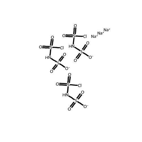 O=S(=O)([O-])NS(=O)(=O)Cl.O=S(=O)([O-])NS(=O)(=O)Cl.O=S(=O)([O-])NS(=O)(=O)Cl.[Na+].[Na+].[Na+]